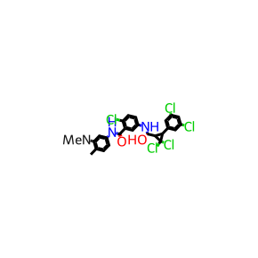 CNc1cc(NC(=O)c2cc(NC(O)C3C(c4cc(Cl)cc(Cl)c4)C3(Cl)Cl)ccc2Cl)ccc1C